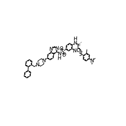 Cc1cc(N(C)C)ccc1SCC[C@@H](C)Nc1ccc(S(=O)(=O)Nc2ncnc3cc(N4CCN(Cc5ccccc5-c5ccccc5)CC4)ccc23)cc1[N+](=O)[O-]